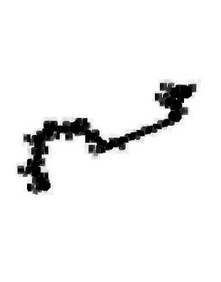 CC(=N)N1C(=N)[C@H](CC(=O)Nc2ccc(OCCOCCOCCOCCOCCOCCC(=O)NCCCN(CCCNC(=O)CCNC(=O)c3cc(NC(=O)CCNC(=O)c4cc(NC(=O)c5nc(NC(=O)CCNC(=O)c6cc(NC(=O)c7nccn7C)cn6C)cn5C)cn4C)cn3C)CC(F)(F)F)cc2)N=C(c2ccc(Cl)cc2)c2c1sc(C)c2C